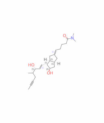 CC#CCC(C)[C@H](O)/C=C/[C@@H]1[C@H]2C/C(=C/CCCC(=O)N(C)C)C[C@H]2C[C@H]1O